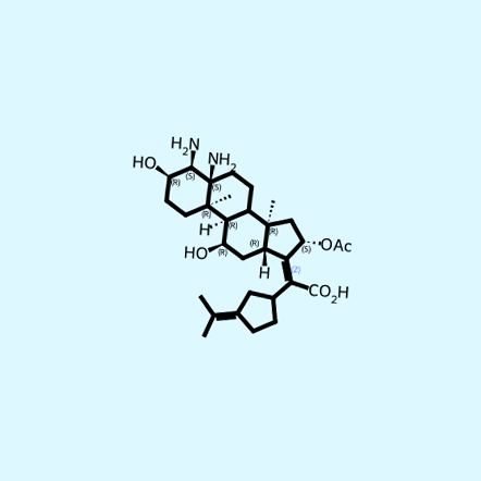 CC(=O)O[C@H]1C[C@]2(C)C3CC[C@@]4(N)[C@H](N)[C@H](O)CC[C@]4(C)[C@@H]3[C@H](O)C[C@H]2/C1=C(/C(=O)O)C1CCC(=C(C)C)C1